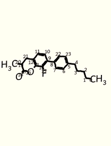 CCCCCc1ccc(-c2ccc3c(c2F)OC(=O)C(C)C3)cc1